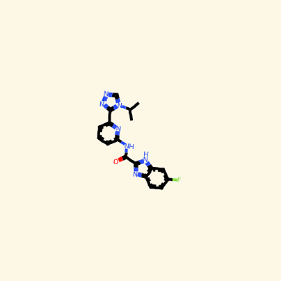 CC(C)n1cnnc1-c1cccc(NC(=O)c2nc3ccc(F)cc3[nH]2)n1